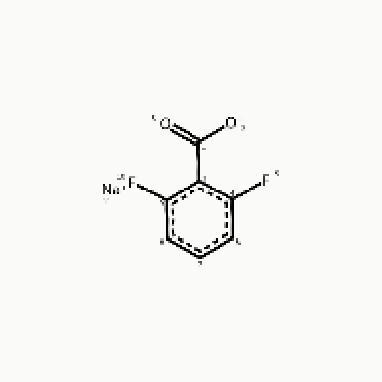 O=C([O-])c1c(F)cccc1F.[Na+]